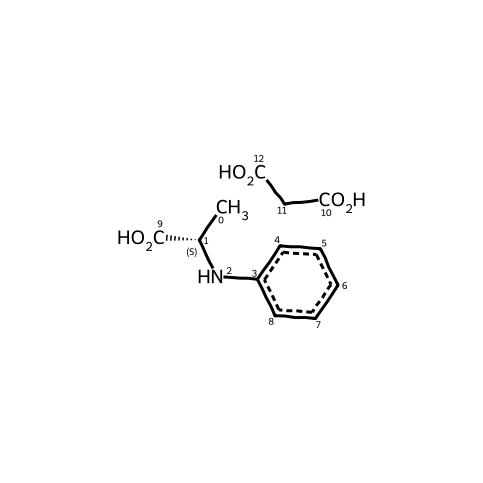 C[C@H](Nc1ccccc1)C(=O)O.O=C(O)CC(=O)O